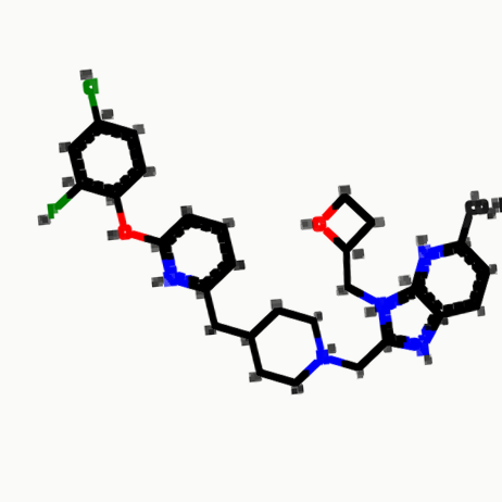 O=C(O)c1ccc2nc(CN3CCC(Cc4cccc(Oc5ccc(Cl)cc5F)n4)CC3)n(CC3CCO3)c2n1